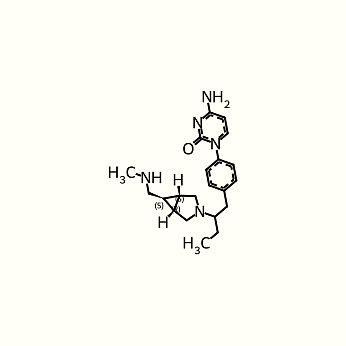 CCC(Cc1ccc(-n2ccc(N)nc2=O)cc1)N1C[C@@H]2[C@@H](CNC)[C@@H]2C1